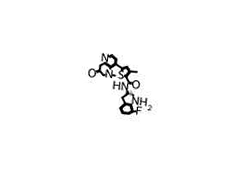 Cc1cc(-c2ccnc3c2N(C)CC(=O)C3)sc1C(=O)N[C@H](CN)Cc1cccc(F)c1